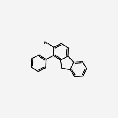 Brc1ccc2c(c1-c1ccccc1)[CH]c1ccccc1-2